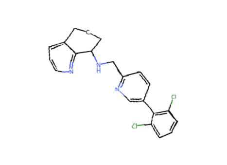 Clc1cccc(Cl)c1-c1ccc(CNC2CCCc3cccnc32)nc1